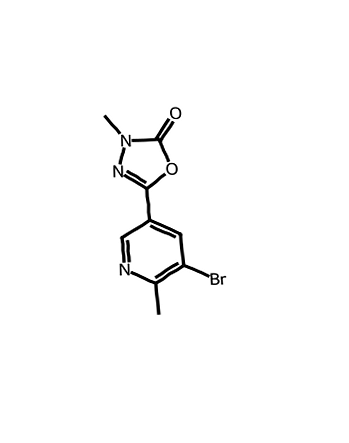 Cc1ncc(-c2nn(C)c(=O)o2)cc1Br